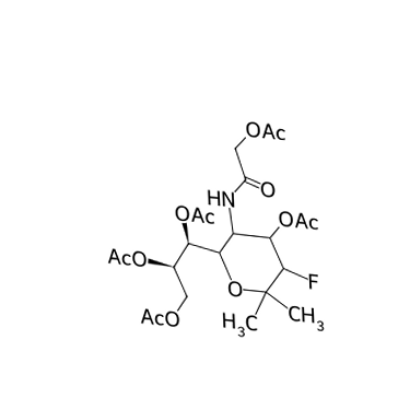 CC(=O)OCC(=O)NC1C(OC(C)=O)C(F)C(C)(C)OC1[C@H](OC(C)=O)[C@@H](COC(C)=O)OC(C)=O